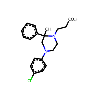 CC1(c2ccccc2)CN(c2ccc(Cl)cc2)CCN1CCC(=O)O